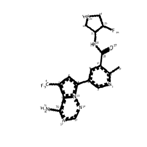 Cc1ncc(-c2cc(C(F)(F)F)c3c(N)ncnn23)cc1C(=O)NC1CNCC1F